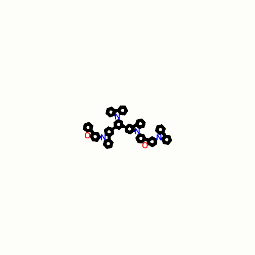 c1ccc2c(c1)oc1ccc(-n3c4ccccc4c4cc(-c5cc(-c6ccc7c(c6)c6ccccc6n7-c6ccc7oc8ccc(-n9c%10ccccc%10c%10ccccc%109)cc8c7c6)cc(-n6c7ccccc7c7ccccc76)c5)ccc43)cc12